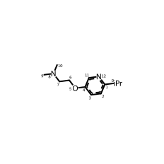 CC(C)c1ccc(OCCN(C)C)cn1